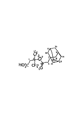 O=C(O)CC(OC(=O)CC12CC3CC(CC(C3)C1)C2)(C(F)(F)F)C(F)(F)F